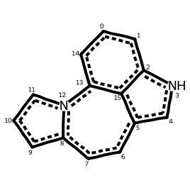 c1cc2[nH]cc3ccc4cccn4c(c1)c32